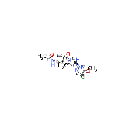 C=CC(=O)Nc1ccc(C(=O)N2C[C@H](Nc3ncc(Cl)c(OC)n3)CC2=C)cc1